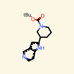 CC(C)(C)OC(=O)N1CCCC(c2cc3cnccc3[nH]2)C1